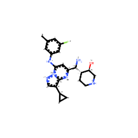 Cc1cc(F)cc(Nc2cc(C(N)[C@H]3CCNC[C@@H]3O)nc3c(C4CC4)cnn23)c1